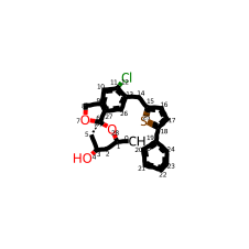 CC1CC(O)C[C@@]2(OCc3cc(Cl)c(Cc4ccc(-c5ccccc5)s4)cc32)O1